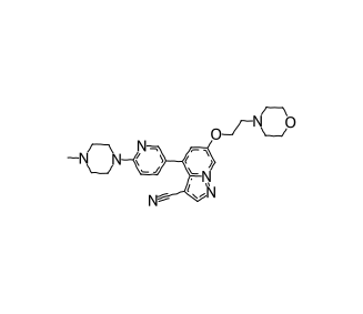 CN1CCN(c2ccc(-c3cc(OCCN4CCOCC4)cn4ncc(C#N)c34)cn2)CC1